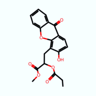 CCC(=O)OC(Cc1c(O)ccc2c(=O)c3ccccc3oc12)C(=O)OC